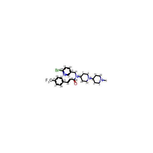 CN1CCC(N2CCC(N(Cc3ccc(Br)nc3)C(=O)C=Cc3ccc(C(F)(F)F)cc3)CC2)CC1